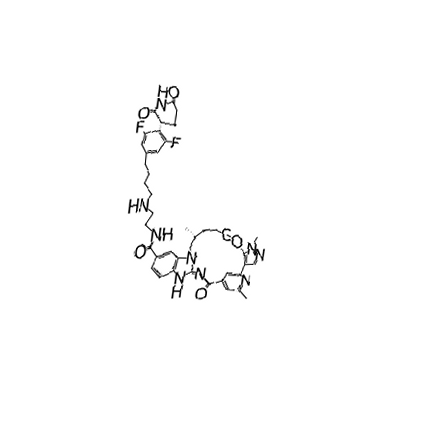 Cc1cc2cc(n1)-c1cnn(C)c1OCCC[C@@H](C)CN1/C(=N/C2=O)Nc2ccc(C(=O)NCCNCCCCc3cc(F)c([C@H]4CCC(=O)NC4=O)c(F)c3)cc21